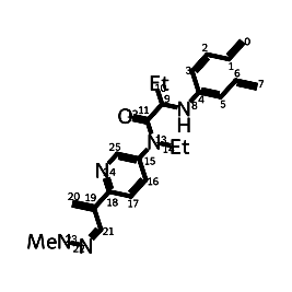 C=C/C=C\C(=C/C=C)NC(CC)C(=O)N(CC)c1ccc(C(=C)/C=N\NC)nc1